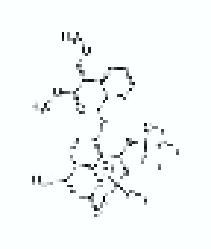 CO/C=C(/C(=O)OC)c1ccccc1COc1ccc2c(C)cc(=O)oc2c1C(SC(C)(C)C)SC(C)(C)C